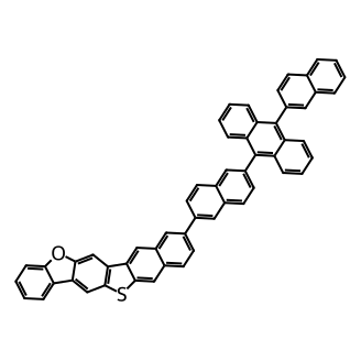 c1ccc2cc(-c3c4ccccc4c(-c4ccc5cc(-c6ccc7cc8sc9cc%10c(cc9c8cc7c6)oc6ccccc6%10)ccc5c4)c4ccccc34)ccc2c1